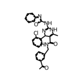 CC(=O)c1cccc(CNC(=O)C2=C(C)NC(Nc3nc4ccccc4o3)=NC2c2ccccc2Cl)c1